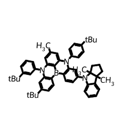 Cc1cc2c3c(c1)N(c1cccc(C(C)(C)C)c1)c1cc(C(C)(C)C)ccc1B3c1ccc(N3c4ccccc4C4(C)CCCC34C)cc1N2c1ccc(C(C)(C)C)cc1